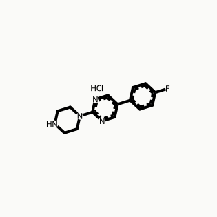 Cl.Fc1ccc(-c2cnc(N3CCNCC3)nc2)cc1